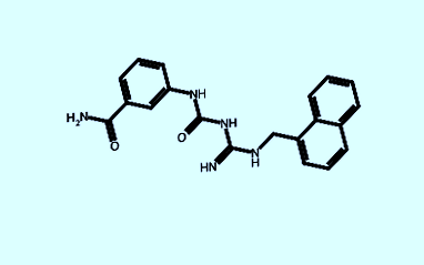 N=C(NCc1cccc2ccccc12)NC(=O)Nc1cccc(C(N)=O)c1